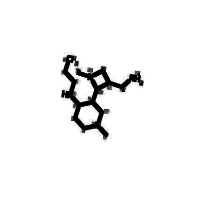 CN1CCC(NCCC(F)(F)F)C(C2C(CN)CN2C)C1